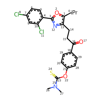 CC(C)c1oc(-c2ccc(Cl)cc2Cl)nc1CCC(=O)c1ccc(OC(=S)N(C)C)cc1